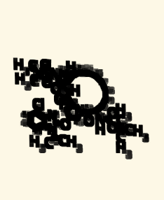 CC(C)n1c(O[C@@H]2C[C@H]3C(=O)N[C@]4(C(=O)NS(=O)(=O)N(C)C)C[C@H]4/C=C\CCCCC[C@H](NC(=O)OC(C)(C)C)C(=O)N3C2)nc2c(Cl)cccc21